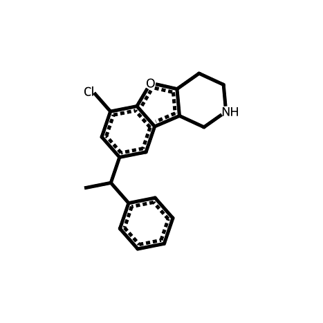 CC(c1ccccc1)c1cc(Cl)c2oc3c(c2c1)CNCC3